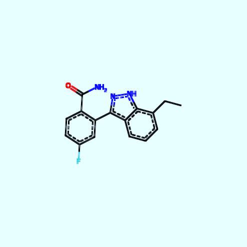 CCc1cccc2c(-c3cc(F)ccc3C(N)=O)n[nH]c12